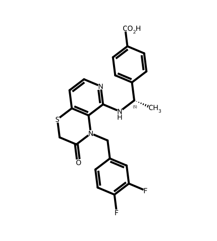 C[C@H](Nc1nccc2c1N(Cc1ccc(F)c(F)c1)C(=O)CS2)c1ccc(C(=O)O)cc1